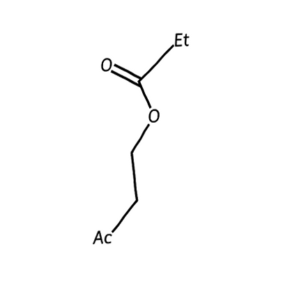 CCC(=O)OCCC(C)=O